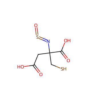 O=S=NC(CS)(CC(=O)O)C(=O)O